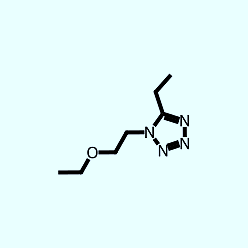 CCOCCn1nnnc1CC